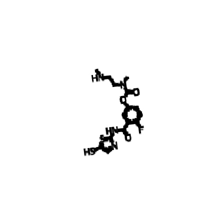 CNCCN(C)C(=O)Oc1ccc(F)c(C(=O)Nc2ncc(S)s2)c1